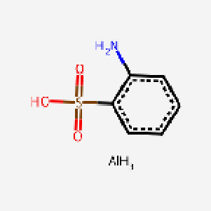 Nc1ccccc1S(=O)(=O)O.[AlH3]